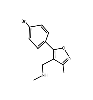 CNCc1c(C)noc1-c1ccc(Br)cc1